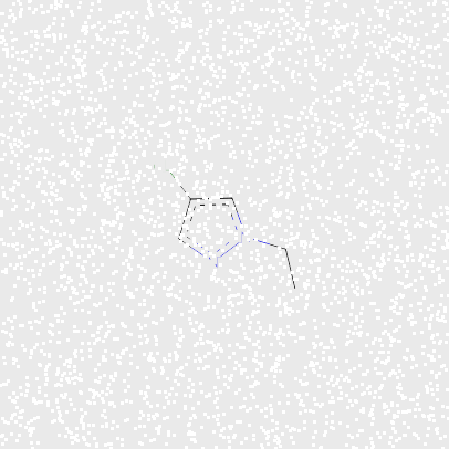 CCn1[c]c(Cl)cn1